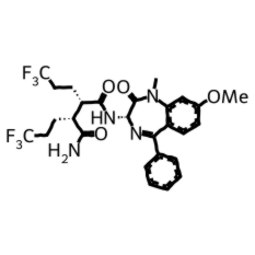 COc1ccc2c(c1)N(C)C(=O)[C@@H](NC(=O)[C@@H](CCC(F)(F)F)[C@@H](CCC(F)(F)F)C(N)=O)N=C2c1ccccc1